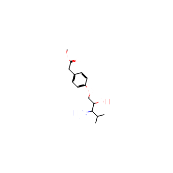 COC(=O)Cc1ccc(OCC(O)C(N)C(C)C)cc1